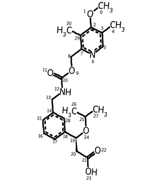 COc1c(C)cnc(COC(=O)NCc2cccc([C@H](CC(=O)O)OC(C)C)c2)c1C